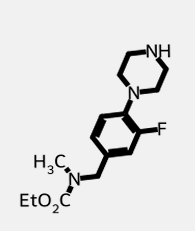 CCOC(=O)N(C)Cc1ccc(N2CCNCC2)c(F)c1